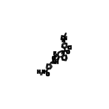 Cc1ccn(-c2ccc(C(=O)N3CCC(F)(F)C(=CC(=O)NCc4ccc(C(N)=O)cc4)c4ccccc43)c(Cl)c2)n1